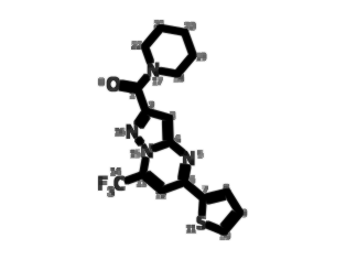 O=C(c1cc2nc(-c3cccs3)cc(C(F)(F)F)n2n1)N1CCCCC1